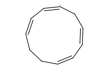 [C]1=CC=CCCC=CC=CC1